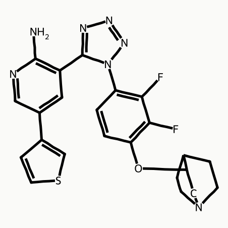 Nc1ncc(-c2ccsc2)cc1-c1nnnn1-c1ccc(OC2CN3CCC2CC3)c(F)c1F